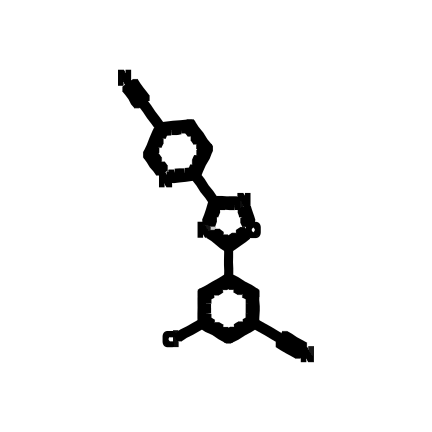 N#Cc1ccc(-c2noc(-c3cc(Cl)cc(C#N)c3)n2)nc1